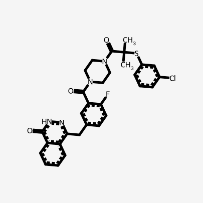 CC(C)(Sc1cccc(Cl)c1)C(=O)N1CCN(C(=O)c2cc(Cc3n[nH]c(=O)c4ccccc34)ccc2F)CC1